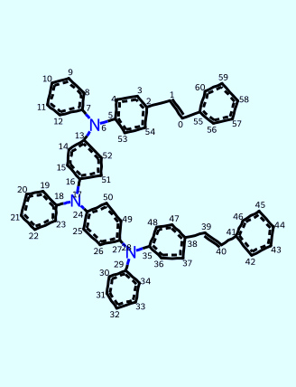 C(=Cc1ccc(N(c2ccccc2)c2ccc(N(c3ccccc3)c3ccc(N(c4ccccc4)c4ccc(C=Cc5ccccc5)cc4)cc3)cc2)cc1)c1ccccc1